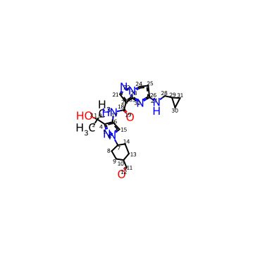 CC(C)(O)c1nn(C2CCC(C=O)CC2)cc1NC(=O)c1cnn2ccc(NCC3CC3)nc12